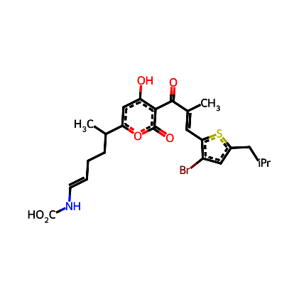 CC(=Cc1sc(CC(C)C)cc1Br)C(=O)c1c(O)cc(C(C)CCC=CNC(=O)O)oc1=O